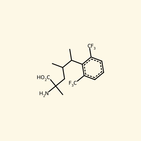 CC(CC(C)(N)C(=O)O)C(C)c1c(C(F)(F)F)cccc1C(F)(F)F